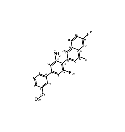 CCOc1cccc(-c2cc(F)c(-c3cc(C)c4cc(F)ccc4n3)c(P)c2)c1